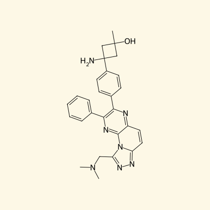 CN(C)Cc1nnc2ccc3nc(-c4ccc(C5(N)CC(C)(O)C5)cc4)c(-c4ccccc4)nc3n12